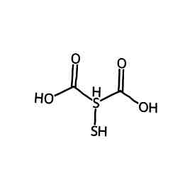 O=C(O)[SH](S)C(=O)O